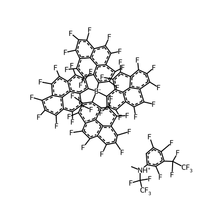 C[NH+](c1cc(F)c(F)c(C(F)(F)C(F)(F)F)c1F)C(F)(F)C(F)(F)F.Fc1c(F)c2c(F)c(F)c3c(F)c(F)c([B-](c4c(F)c(F)c5c(F)c(F)c6c(F)c(F)c(F)c7c(F)c(F)c4c5c67)(c4c(F)c(F)c5c(F)c(F)c6c(F)c(F)c(F)c7c(F)c(F)c4c5c67)c4c(F)c(F)c5c(F)c(F)c6c(F)c(F)c(F)c7c(F)c(F)c4c5c67)c4c(F)c(F)c(c1F)c2c34